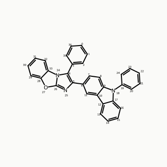 c1ccc(-c2c(-c3ccc4c(c3)c3ccccc3n4-c3ccccc3)nc3oc4ccccc4n23)cc1